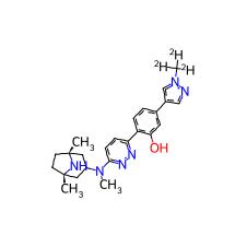 [2H]C([2H])([2H])n1cc(-c2ccc(-c3ccc(N(C)C4C[C@]5(C)CC[C@](C)(C4)N5)nn3)c(O)c2)cn1